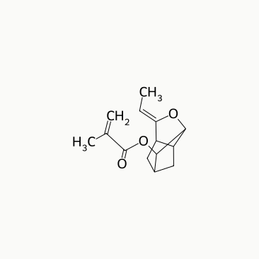 C=C(C)C(=O)OC1C2CC3C(=CC)OC1C3C2